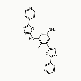 Cc1c(Nc2ncc(-c3ccncc3)o2)cc(N)cc1-c1nnc(-c2ccccc2)o1